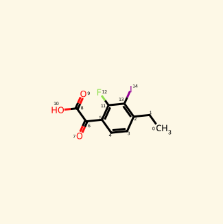 CCc1ccc(C(=O)C(=O)O)c(F)c1I